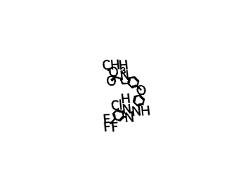 CCOC(=O)C1Cc2cc(Oc3ccc(Nc4nc5cc(C(F)(F)F)cc(Cl)c5[nH]4)cc3)ccc2N1